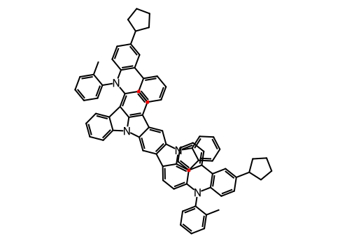 Cc1ccccc1N(c1ccc(C2CCCC2)cc1-c1ccccc1)c1ccc2c3cc4c(cc3n3c5ccccc5c1c23)c1ccc(N(c2ccccc2C)c2ccc(C3CCCC3)cc2-c2ccccc2)c2c3ccccc3n4c12